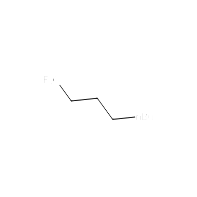 C[CH]CCCCCC(F)(F)F